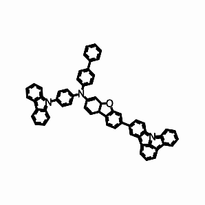 C1=CC2c3ccc(-c4ccc5c(c4)c4cccc6c7ccccc7n5c64)cc3OC2C=C1N(c1ccc(-c2ccccc2)cc1)c1ccc(-n2c3ccccc3c3ccccc32)cc1